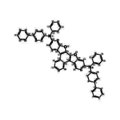 C1=C(c2ccccc2)CCC(N(c2ccccc2)c2ccc3c(c2)oc2c4oc5cc(N(c6ccccc6)c6ccc(-c7ccccc7)cc6)ccc5c4c4ccccc4c32)=C1